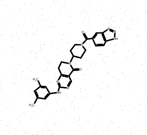 Cc1cc(C)cc(Nc2ncc3c(n2)CCN(C2CCN(C(=O)c4ccc5[nH]nnc5c4)CC2)C3=O)c1